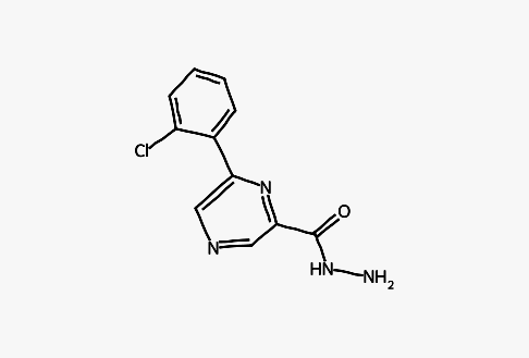 NNC(=O)c1cncc(-c2ccccc2Cl)n1